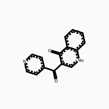 O=C(c1ccncc1)c1c[nH]c2ccccc2c1=O